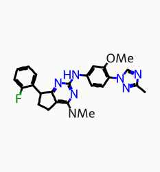 CNc1nc(Nc2ccc(-n3cnc(C)n3)c(OC)c2)nc2c1CCC2c1ccccc1F